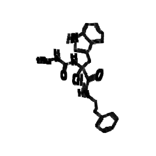 CC(C)(C)NC(=O)NC(C)(Cc1c[nH]c2ccccc12)C(=O)NCCc1ccccc1